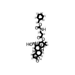 CC1(C)C[C@@]2(C)[C@@H](C[C@H]1OC(=O)CCNC(=O)OCc1ccccc1)/C(=N/O)C[C@@H]1[C@@H]2CC[C@]2(C)C(=O)CC[C@@H]12